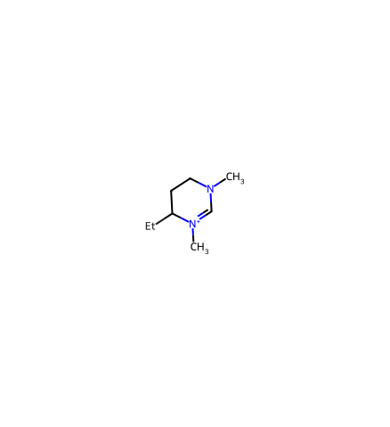 CCC1CCN(C)C=[N+]1C